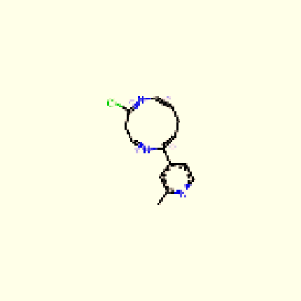 Cc1cc(C2=C/C/C=C\N=C(\Cl)C/C=N\2)ccn1